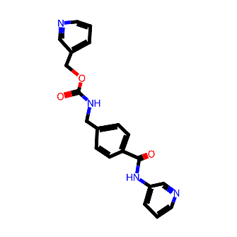 O=C(NCc1ccc(C(=O)Nc2cccnc2)cc1)OCc1cccnc1